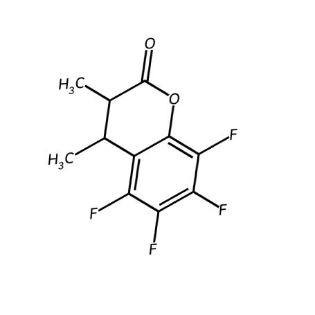 CC1C(=O)Oc2c(F)c(F)c(F)c(F)c2C1C